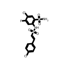 NS(=O)(=O)c1cc(Cl)c(F)cc1NS(=O)(=O)/C=C/c1ccc(Cl)cc1